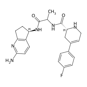 CC(NC(=O)[C@H]1CC(c2ccc(F)cc2)=CCN1)C(=O)N[C@@H]1CCc2nc(N)ccc21